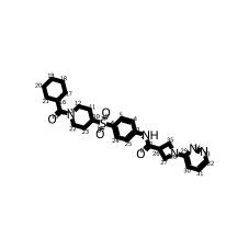 O=C(Nc1ccc(S(=O)(=O)C2CCN(C(=O)C3CCCCC3)CC2)cc1)C1CN(c2cccnn2)C1